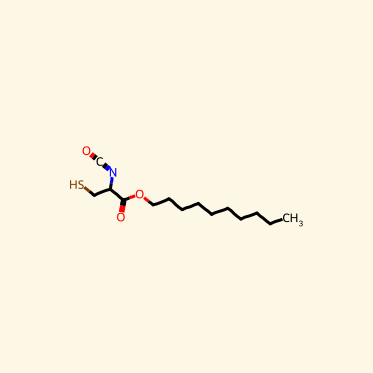 CCCCCCCCCCOC(=O)C(CS)N=C=O